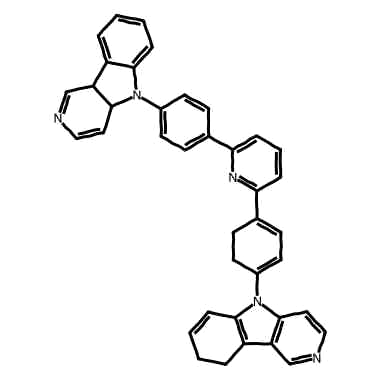 C1=Cc2c(c3cnccc3n2C2=CC=C(c3cccc(-c4ccc(N5c6ccccc6C6C=NC=CC65)cc4)n3)CC2)CC1